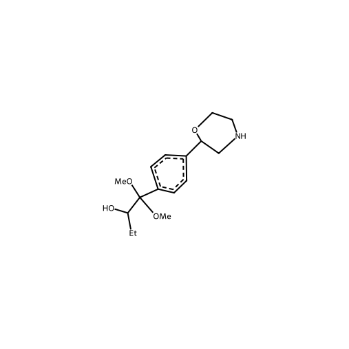 CCC(O)C(OC)(OC)c1ccc(C2CNCCO2)cc1